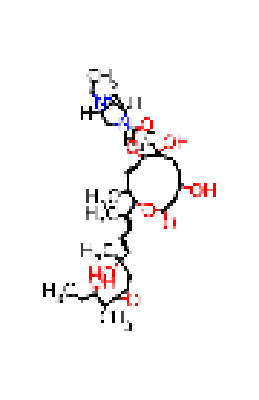 CCC(O)C(C)C1OC1CC(C)(O)/C=C/C=C(\C)C1OC(=O)CC(O)CCC(C)(O)C(OC(=O)N2C[C@H]3C[C@@H]2CN3CC)/C=C/C1C